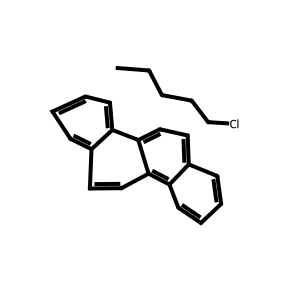 CCCCCCl.c1ccc2c(c1)ccc1c3ccccc3ccc21